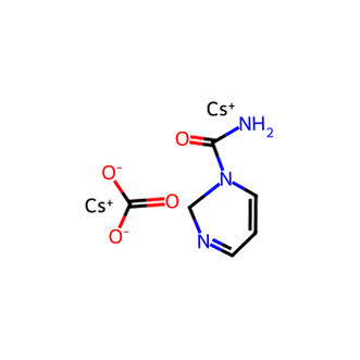 NC(=O)N1C=CC=NC1.O=C([O-])[O-].[Cs+].[Cs+]